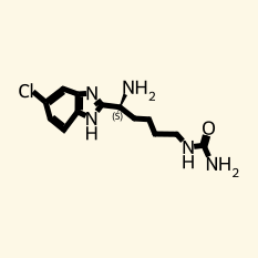 NC(=O)NCCCC[C@H](N)c1nc2cc(Cl)ccc2[nH]1